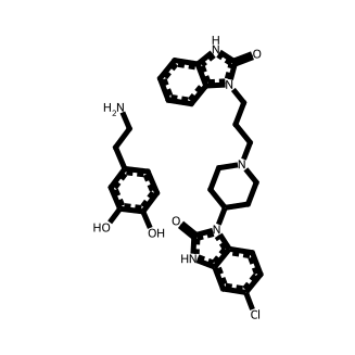 NCCc1ccc(O)c(O)c1.O=c1[nH]c2ccccc2n1CCCN1CCC(n2c(=O)[nH]c3cc(Cl)ccc32)CC1